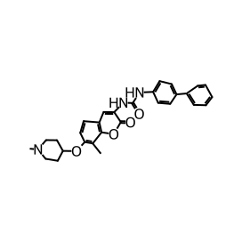 Cc1c(OC2CCN(C)CC2)ccc2cc(NC(=O)Nc3ccc(-c4ccccc4)cc3)c(=O)oc12